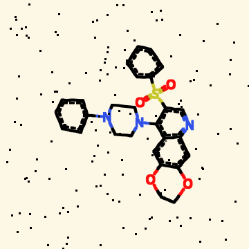 O=S(=O)(c1ccccc1)c1cnc2cc3c(cc2c1N1CCN(c2ccccc2)CC1)OCCO3